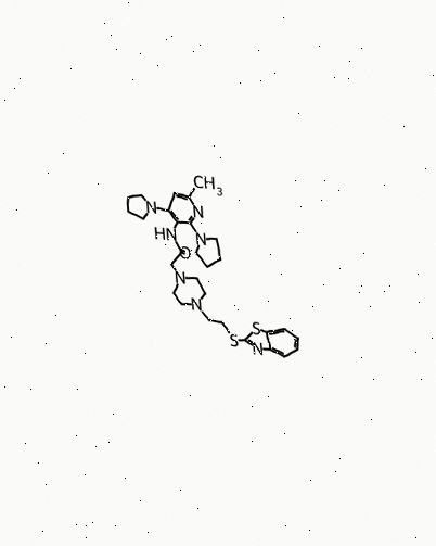 Cc1cc(N2CCCC2)c(NC(=O)CN2CCN(CCSc3nc4ccccc4s3)CC2)c(N2CCCC2)n1